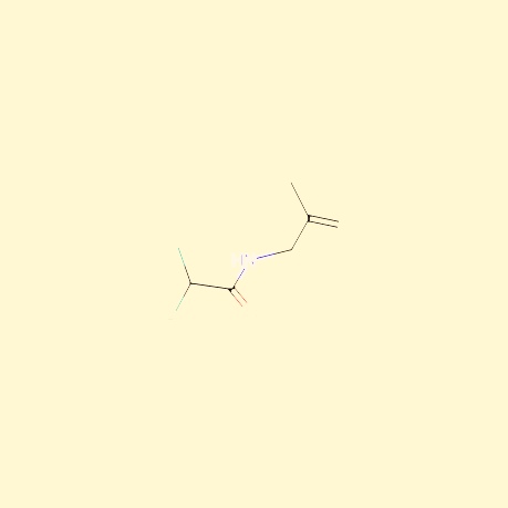 C=C(C)CNC(=O)C(F)F